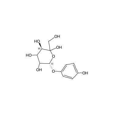 OCC1(O)O[C@H](Oc2ccc(O)cc2)C(O)C(O)[C@H]1O